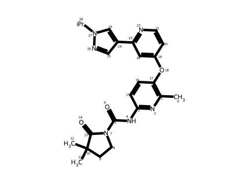 Cc1nc(NC(=O)N2CCC(C)(C)C2=O)ccc1Oc1ccnc(-c2cnn(C(C)C)c2)c1